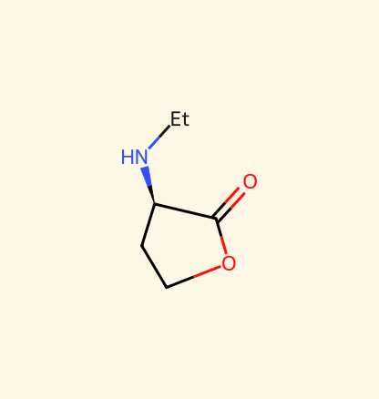 CCN[C@@H]1CCOC1=O